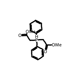 COC(=O)C[PH](CC(=O)OC)(c1ccccc1)c1ccccc1